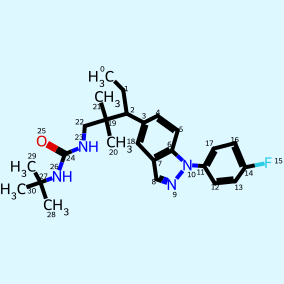 CCC(c1ccc2c(cnn2-c2ccc(F)cc2)c1)C(C)(C)CNC(=O)NC(C)(C)C